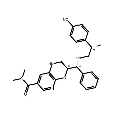 C[C@H](CN[C@H](c1ccccc1)[C@@H]1CNc2cc(C(=O)N(C)C)cnc2O1)c1ccc(C#N)cc1